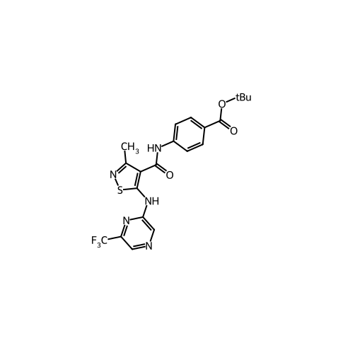 Cc1nsc(Nc2cncc(C(F)(F)F)n2)c1C(=O)Nc1ccc(C(=O)OC(C)(C)C)cc1